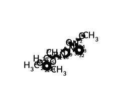 COCCn1c(=O)n(C2CCN(CCC(Oc3cc(OC)ccc3C)C(C)C)CC2)c2ccccc21